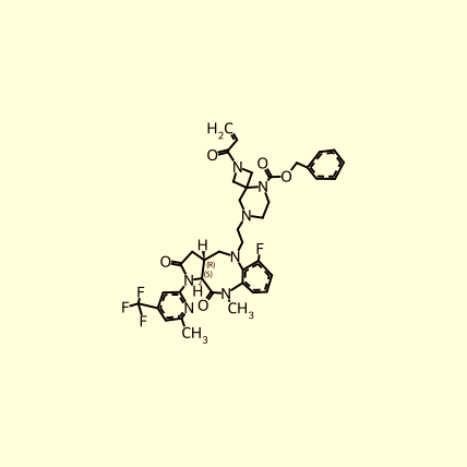 C=CC(=O)N1CC2(CN(CCN3C[C@H]4CC(=O)N(c5cc(C(F)(F)F)cc(C)n5)[C@@H]4C(=O)N(C)c4cccc(F)c43)CCN2C(=O)OCc2ccccc2)C1